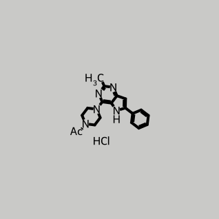 CC(=O)N1CCN(c2nc(C)nc3cc(-c4ccccc4)[nH]c23)CC1.Cl